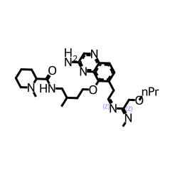 CCCOCC(/N=C\Cc1ccc2ncc(N)nc2c1OCCC(C)CNC(=O)C1CCCCN1C)=N/C